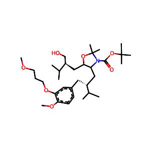 COCCCOc1cc(C[C@H](CC2C(C[C@H](CO)C(C)C)OC(C)(C)N2C(=O)OC(C)(C)C)C(C)C)ccc1OC